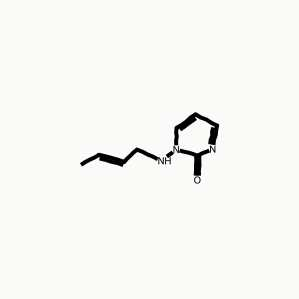 CC=CCNn1cccnc1=O